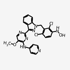 COc1cnc(-c2nn(Cc3c(Cl)ccc(NO)c3Cl)c3ccccc23)nc1Nc1ccncc1